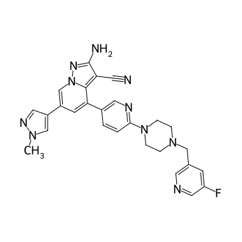 Cn1cc(-c2cc(-c3ccc(N4CCN(Cc5cncc(F)c5)CC4)nc3)c3c(C#N)c(N)nn3c2)cn1